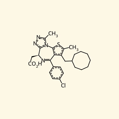 Cc1sc2c(c1CC1CCCCCCC1)C(c1ccc(Cl)cc1)=N[C@@H](CC(=O)O)c1nnc(C)n1-2